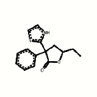 CCC1CC(c2ccccc2)(c2ncc[nH]2)C(=O)O1